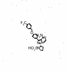 Nc1nccn2c([C@@H]3CCCN3C(=O)O)nc(-c3ccc(OCc4ccc(C(F)(F)F)cc4)cc3)c12